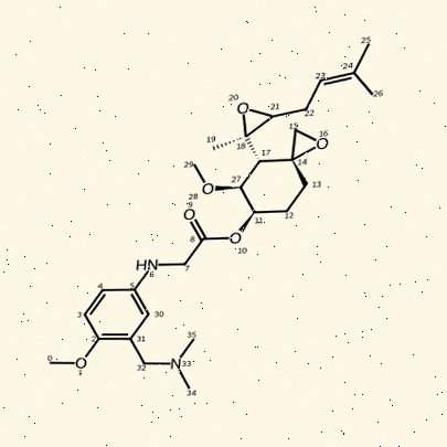 COc1ccc(NCC(=O)O[C@@H]2CC[C@]3(CO3)[C@@H]([C@@]3(C)OC3CC=C(C)C)[C@@H]2OC)cc1CN(C)C